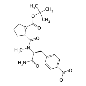 CN(C(=O)[C@@H]1CCCN1C(=O)OC(C)(C)C)[C@@H](Cc1ccc([N+](=O)[O-])cc1)C(N)=O